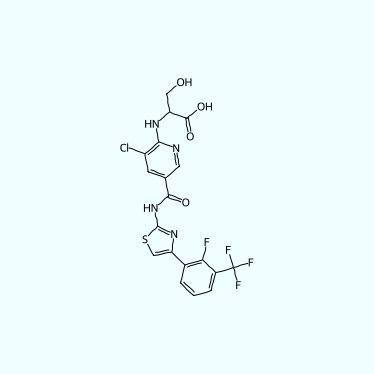 O=C(Nc1nc(-c2cccc(C(F)(F)F)c2F)cs1)c1cnc(NC(CO)C(=O)O)c(Cl)c1